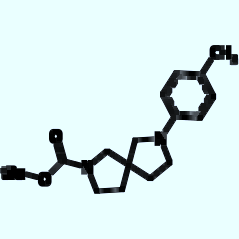 Cc1ccc(N2CCC3(CCN(C(=O)OC(C)(C)C)C3)C2)cc1